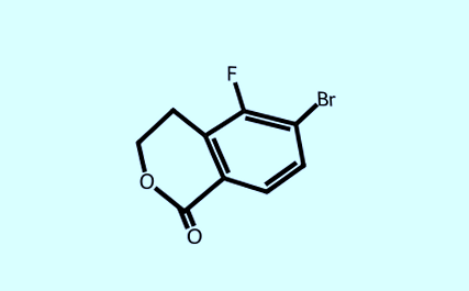 O=C1OCCc2c1ccc(Br)c2F